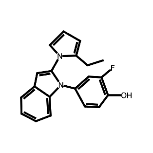 CCc1cccn1-c1cc2ccccc2n1-c1ccc(O)c(F)c1